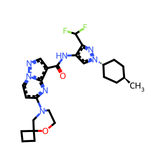 C[C@H]1CC[C@H](n2cc(NC(=O)c3cnn4ccc(N5CCOC6(CCC6)C5)nc34)c(C(F)F)n2)CC1